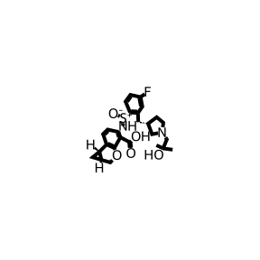 CC(C)(O)CN1CC[C@@H](Cc2cc(F)ccc2[S+]([O-])Nc2ccc3c(c2C(=O)O)OC[C@@H]2C[C@H]32)C1